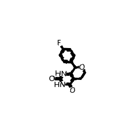 O=c1[nH]c2c(c(=O)[nH]1)CCOC2c1ccc(F)cc1